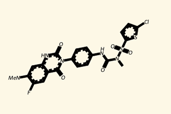 CNc1cc2[nH]c(=O)n(-c3ccc(NC(=O)N(C)S(=O)(=O)c4ccc(Cl)s4)cc3)c(=O)c2cc1F